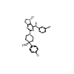 [O-][S+]1CCc2nc(N3CCC(O)(c4ccc(Cl)cc4)CC3)nc(Nc3cccc(F)c3)c21